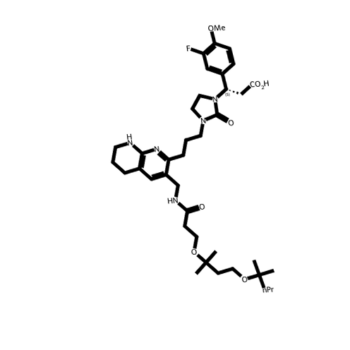 CCCC(C)(C)OCCC(C)(C)OCCC(=O)NCc1cc2c(nc1CCCN1CCN([C@@H](CC(=O)O)c3ccc(OC)c(F)c3)C1=O)NCCC2